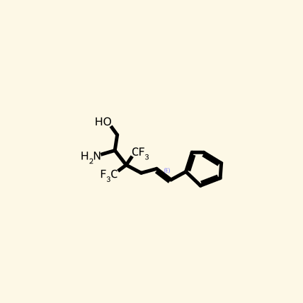 NC(CO)C(C/C=C/c1ccccc1)(C(F)(F)F)C(F)(F)F